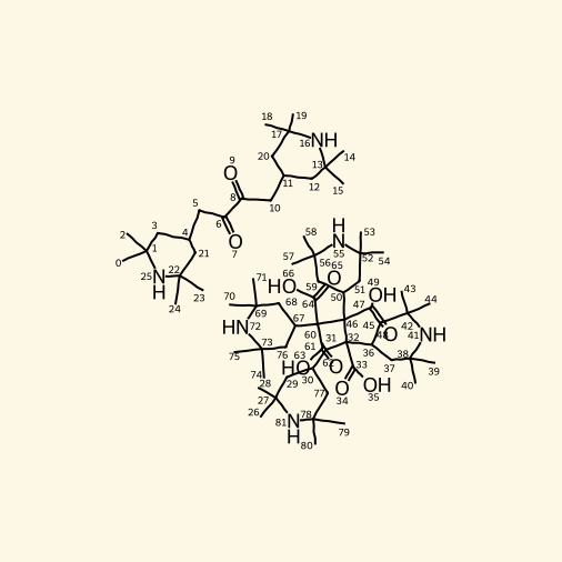 CC1(C)CC(CC(=O)C(=O)CC2CC(C)(C)NC(C)(C)C2)CC(C)(C)N1.CC1(C)CC(CC(C(=O)O)(C2CC(C)(C)NC(C)(C)C2)C(C(=O)O)(C2CC(C)(C)NC(C)(C)C2)C(C(=O)O)(C(=O)O)C2CC(C)(C)NC(C)(C)C2)CC(C)(C)N1